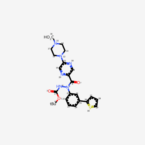 CC(C)(C)OC(=O)NN(C(=O)c1cnc(N2CCN(C(=O)O)CC2)cn1)c1cccc(-c2cccs2)c1